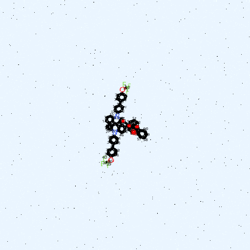 FC(F)(F)Oc1ccc(-c2ccc(N3c4ccccc4C4(c5ccccc5N(c5ccc(-c6ccc(OC(F)(F)F)cc6)cc5)c5ccc(-c6cccc7c6oc6ccccc67)cc54)c4cc(-c5ccccc5)ccc43)cc2)cc1